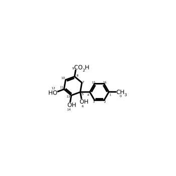 Cc1ccc(C2(O)CC(C(=O)O)=CC(O)=C2O)cc1